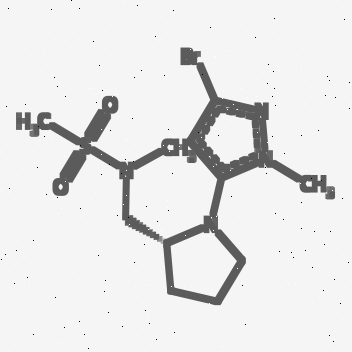 CN(C[C@H]1CCCN1c1cc(Br)nn1C)S(C)(=O)=O